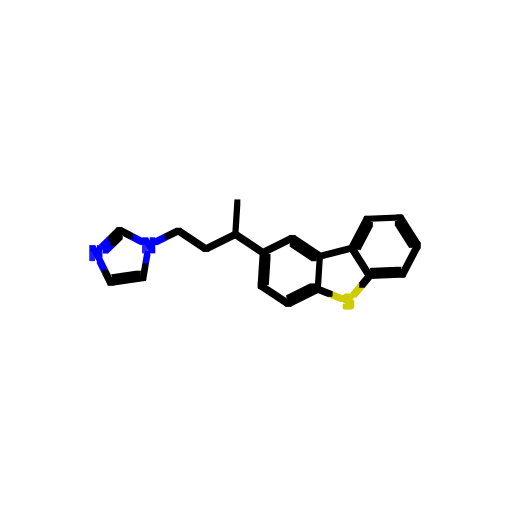 CC(CCn1ccnc1)c1ccc2sc3ccccc3c2c1